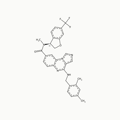 Cc1ccc(CNc2nc3ccc(C(=O)N(C)[C@@H]4COc5cc(C(F)(F)F)ccc54)cc3n3cncc23)c(C)c1